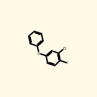 Fc1ccc(Oc2ccccc2)cc1Cl